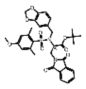 COc1cc(C)c(S(=O)(=O)N(Cc2ccc3c(c2)OCO3)[C@H](CN2C(=O)c3ccccc3C2=O)C(=O)OC(C)(C)C)c(C)c1